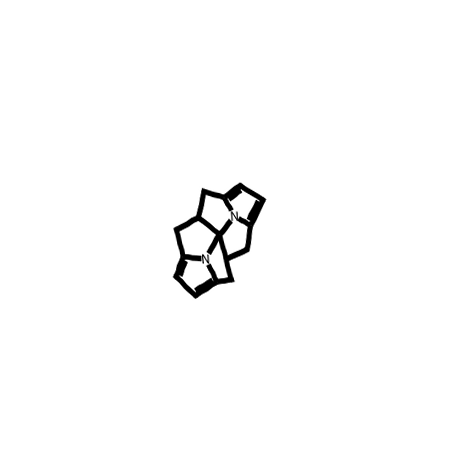 c1cc2n3c1CC1Cc4ccc5n4C13C(C2)C5